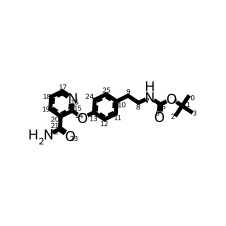 CC(C)(C)OC(=O)NCCc1ccc(Oc2ncccc2C(N)=O)cc1